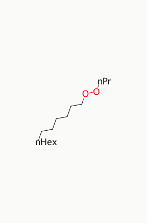 CCCCCCCCCCCCOOCCC